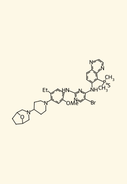 CCc1cc(Nc2ncc(Br)c(Nc3ccc4nccnc4c3P(C)(C)=S)n2)c(OC)cc1N1CCC(N2CC3CCC(C2)O3)CC1